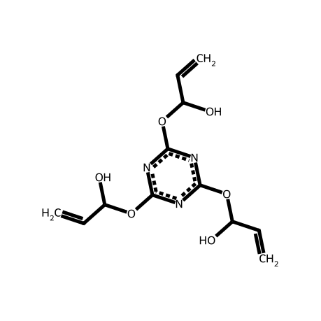 C=CC(O)Oc1nc(OC(O)C=C)nc(OC(O)C=C)n1